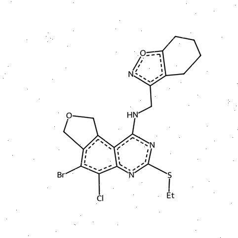 CCSc1nc(NCc2noc3c2CCCC3)c2c3c(c(Br)c(Cl)c2n1)COC3